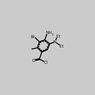 CCN(CC)c1cc(C(=O)Cl)c(C)c(Br)c1N